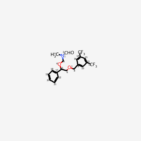 CN(C=O)COC(COCc1cc(C(F)(F)F)cc(C(F)(F)F)c1)c1ccccc1